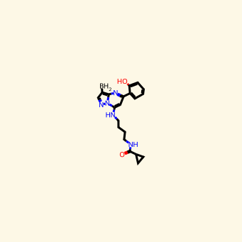 Bc1cnn2c(NCCCCNC(=O)C3CC3)cc(-c3ccccc3O)nc12